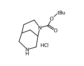 CC(C)(C)OC(=O)N1CCC2CNCC1C2.Cl